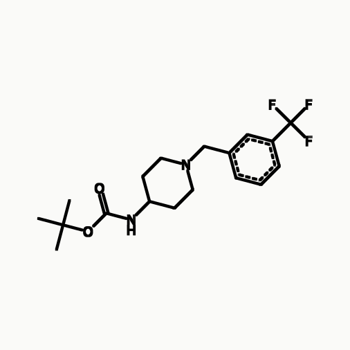 CC(C)(C)OC(=O)NC1CCN(Cc2cccc(C(F)(F)F)c2)CC1